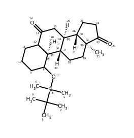 CC(C)(C)[Si](C)(C)OC1CCCC2C(=O)C[C@@H]3[C@H](CC[C@]4(C)C(=O)CC[C@@H]34)[C@@]12C